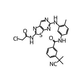 Cc1ccc(NC(=O)c2cccc(C(C)(C)C#N)c2)cc1Nc1ncc2nc(NC(=O)CCl)sc2n1